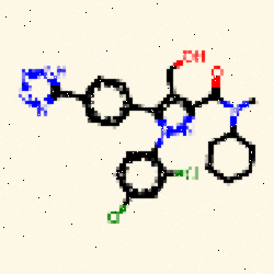 CN(C(=O)c1nn(-c2ccc(Cl)cc2Cl)c(-c2ccc(-c3nnn[nH]3)cc2)c1CO)C1CCCCC1